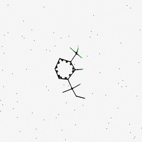 CCC(C)(C)c1cccc(C(F)(F)F)c1Cl